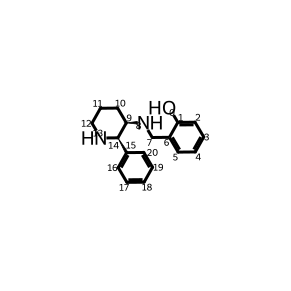 Oc1ccccc1CN[C@@H]1CCCN[C@@H]1c1ccccc1